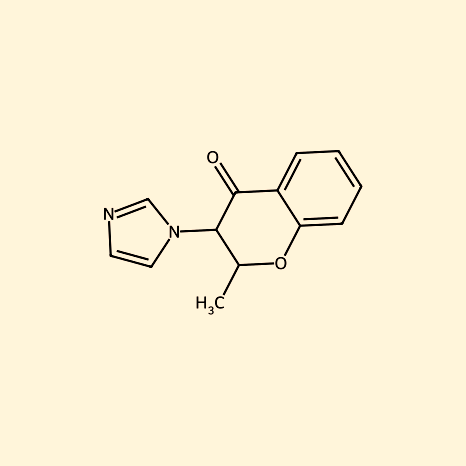 CC1Oc2ccccc2C(=O)C1n1ccnc1